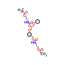 C=CC(=O)OCCCNC(=O)OCc1cccc(OCC(COc2ccccc2)OC(=O)NCCCOC(=O)C=C)c1